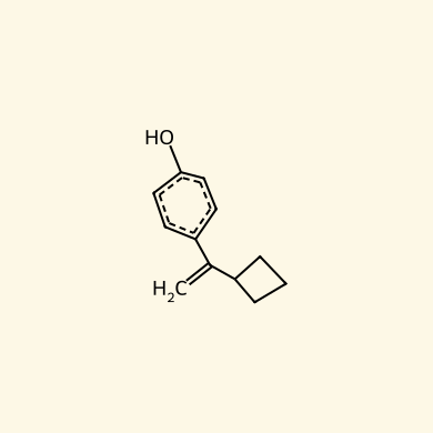 C=C(c1ccc(O)cc1)C1CCC1